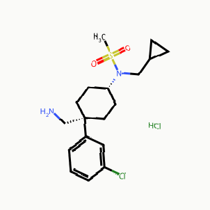 CS(=O)(=O)N(CC1CC1)[C@H]1CC[C@](CN)(c2cccc(Cl)c2)CC1.Cl